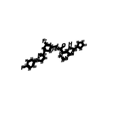 O=C(NCc1cc(F)cc(-c2ccn(-c3ccc(F)cc3)n2)c1)c1ncnc2nc(C3CCCC3)[nH]c12